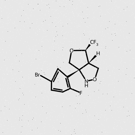 Fc1ccc(Br)cc1[C@@]12CO[C@@H](C(F)(F)F)[C@@H]1CON2